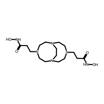 O=C(CCN1CCN2CCN(CCC(=O)NO)CCN(CC1)CC2)NO